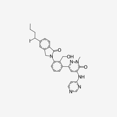 CCCC(I)c1ccc2c(c1)CN(c1cccc(-c3cc(Nc4ccncn4)c(=O)n(C)n3)c1CO)C2=O